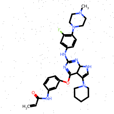 C=CC(=O)Nc1cccc(OC2=NC(Nc3ccc(N4CCN(C)CC4)c(F)c3)=NC3NC=C(N4CCCCC4)C23)c1